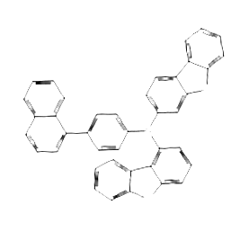 c1ccc2c(-c3ccc(N(c4ccc5c(c4)oc4ccccc45)c4cccc5oc6ccccc6c45)cc3)cccc2c1